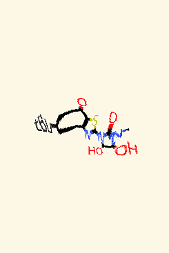 CN1C(=O)N(c2nc3c(s2)C(=O)CC(C(C)(C)C)C3)C(O)C1O